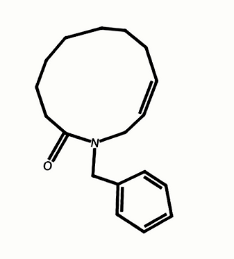 O=C1CCCCCCCC=CCN1Cc1ccccc1